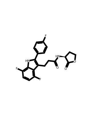 O=C(CCc1c(-c2ccc(F)cc2)[nH]c2c(F)ccc(F)c12)N[C@H]1CCOC1=O